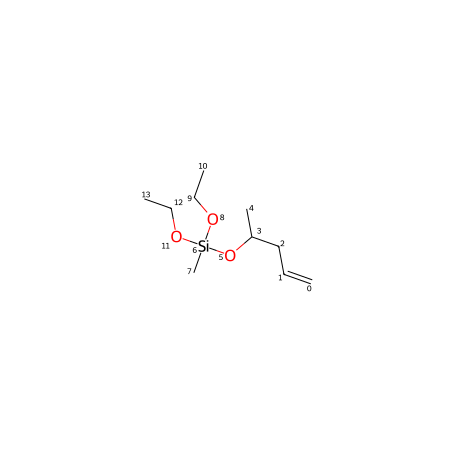 C=CCC(C)O[Si](C)(OCC)OCC